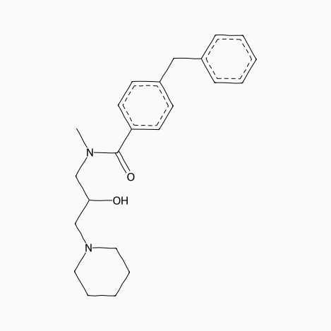 CN(CC(O)CN1CCCCC1)C(=O)c1ccc(Cc2ccccc2)cc1